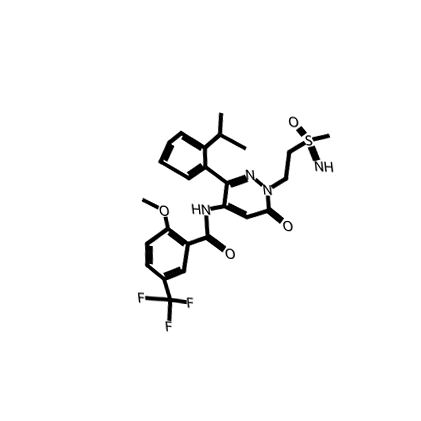 COc1ccc(C(F)(F)F)cc1C(=O)Nc1cc(=O)n(CCS(C)(=N)=O)nc1-c1ccccc1C(C)C